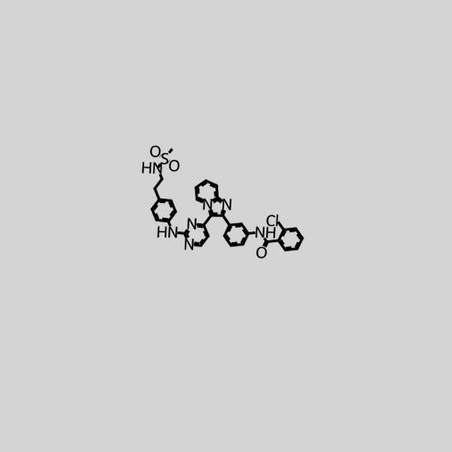 CS(=O)(=O)NCCc1ccc(Nc2nccc(-c3c(-c4cccc(NC(=O)c5ccccc5Cl)c4)nc4ccccn34)n2)cc1